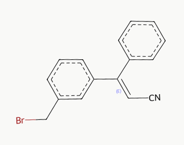 N#C/C=C(\c1ccccc1)c1cccc(CBr)c1